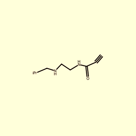 C#CC(=O)NCCNCC(C)C